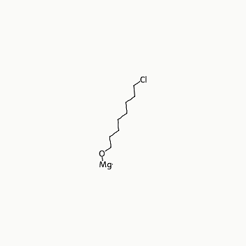 [Mg][O]CCCCCCCCCl